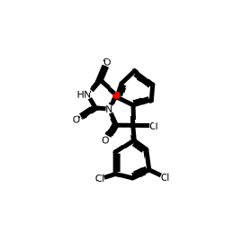 O=C1CN(C(=O)C(Cl)(c2ccccc2)c2cc(Cl)cc(Cl)c2)C(=O)N1